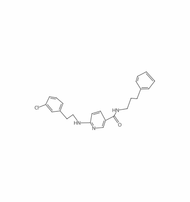 O=C(NCCCc1ccccc1)c1ccc(NCCc2cccc(Cl)c2)nc1